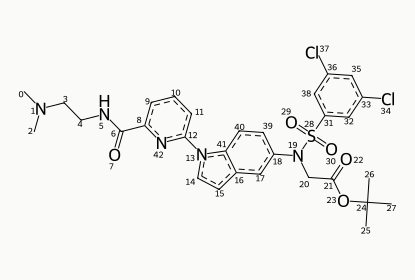 CN(C)CCNC(=O)c1cccc(-n2ccc3cc(N(CC(=O)OC(C)(C)C)S(=O)(=O)c4cc(Cl)cc(Cl)c4)ccc32)n1